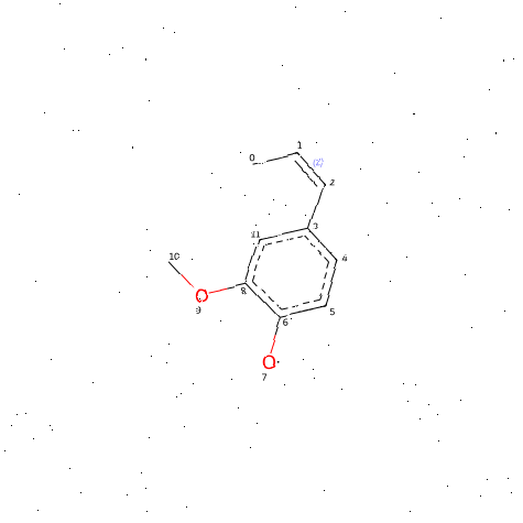 C/C=C\c1ccc([O])c(OC)c1